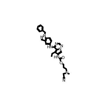 CCc1c(NC(=O)OCCCN(C)CC#N)cn2ncnc(Nc3ccc4c(cnn4Cc4ccccc4)c3)c12